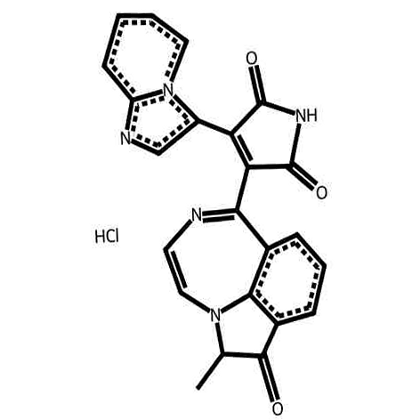 CC1C(=O)c2cccc3c2N1C=CN=C3C1=C(c2cnc3ccccn23)C(=O)NC1=O.Cl